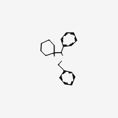 OC1(C(OCc2ccccc2)c2ccccc2)CCCCC1